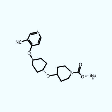 CC[C@@H](C)OC(=O)N1CCC(O[C@H]2CC[C@H](Oc3ccncc3C#N)CC2)CC1